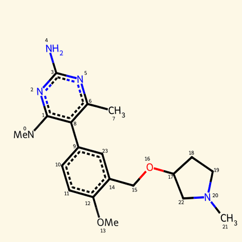 CNc1nc(N)nc(C)c1-c1ccc(OC)c(COC2CCN(C)C2)c1